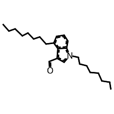 CCCCCCCCc1cccc2c1c(C=O)cn2CCCCCCCC